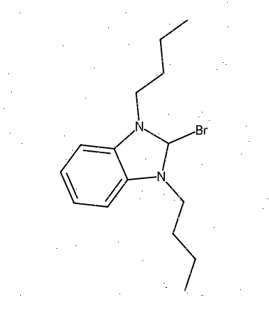 CCCCN1c2ccccc2N(CCCC)C1Br